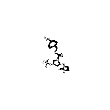 CS(=O)(=O)O[C@@H]1C[C@@H](Cn2cc[nH]c2=O)N(C(=O)OCc2ccc([N+](=O)[O-])cc2)C1